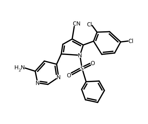 N#Cc1cc(-c2cc(N)ncn2)n(S(=O)(=O)c2ccccc2)c1-c1ccc(Cl)cc1Cl